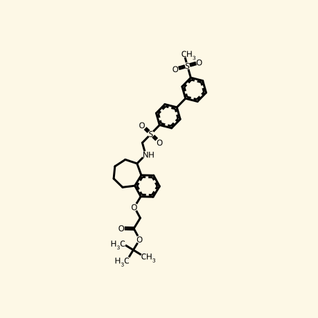 CC(C)(C)OC(=O)COc1cccc2c1CCCCC2NCS(=O)(=O)c1ccc(-c2cccc(S(C)(=O)=O)c2)cc1